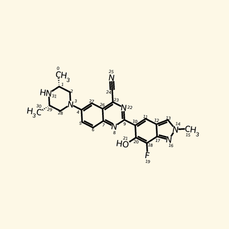 C[C@@H]1CN(c2ccc3nc(-c4cc5cn(C)nc5c(F)c4O)nc(C#N)c3c2)C[C@H](C)N1